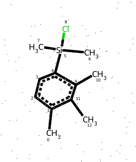 Cc1ccc([Si](C)(C)Cl)c(C)c1C